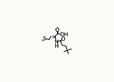 CSCC[C@@H](NC(=O)CCC(C)(C)C)C(=O)O